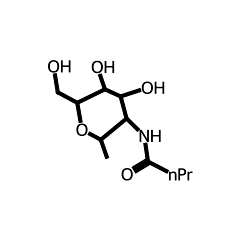 CCCC(=O)NC1C(C)OC(CO)C(O)C1O